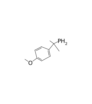 COc1ccc(C(C)(C)P)cc1